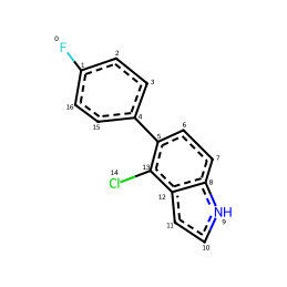 Fc1ccc(-c2ccc3[nH]ccc3c2Cl)cc1